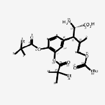 CCC(C)(C)C(=O)Oc1ccc(C(C(C)COC(=O)C(C)(C)C)[C@H](N)C(=O)O)cc1OC(=O)C(C)(C)CC